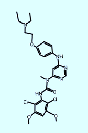 CCN(CC)CCOc1ccc(Nc2cc(N(C)C(=O)Nc3c(Cl)c(OC)cc(OC)c3Cl)ncn2)cc1